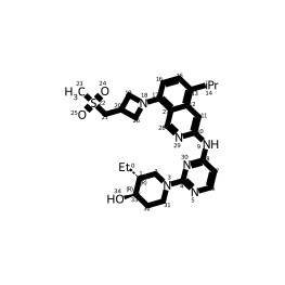 CC[C@@H]1CN(c2nccc(Nc3cc4c(C(C)C)ccc(N5CC(CS(C)(=O)=O)C5)c4cn3)n2)CC[C@H]1O